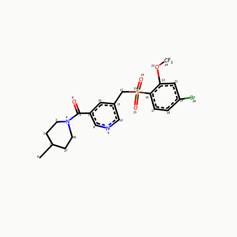 CC1CCN(C(=O)c2cncc(CS(=O)(=O)c3ccc(Br)cc3OC(F)(F)F)c2)CC1